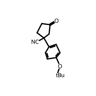 CC(C)(C)Oc1ccc(C2(C#N)CCC(=O)C2)cc1